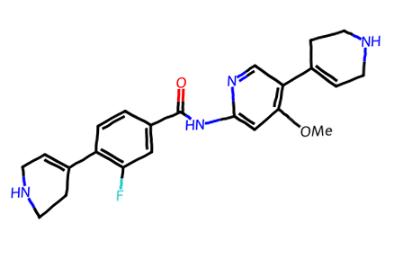 COc1cc(NC(=O)c2ccc(C3=CCNCC3)c(F)c2)ncc1C1=CCNCC1